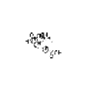 Cn1c2c([nH]c1=O)C=CC(C1=CC3CCC1CN3C(=O)CO)N2CC(C)(C)C